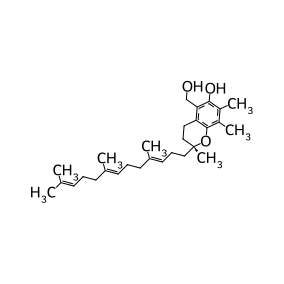 CC(C)=CCC/C(C)=C/CC/C(C)=C/CC[C@]1(C)CCc2c(CO)c(O)c(C)c(C)c2O1